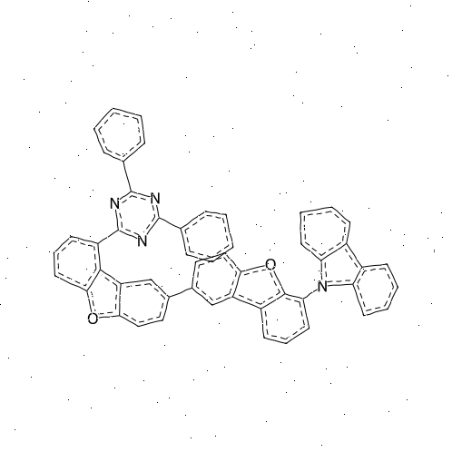 c1ccc(-c2nc(-c3ccccc3)nc(-c3cccc4oc5ccc(-c6ccc7oc8c(-n9c%10ccccc%10c%10ccccc%109)cccc8c7c6)cc5c34)n2)cc1